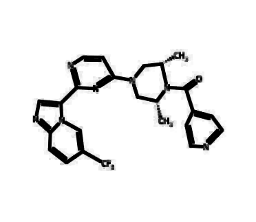 C[C@@H]1CN(c2ccnc(-c3cnc4ccc(C(F)(F)F)cn34)n2)C[C@H](C)N1C(=O)c1ccncc1